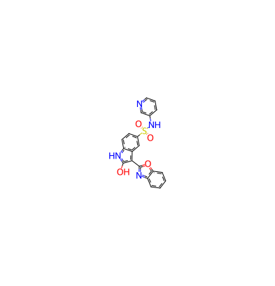 O=S(=O)(Nc1cccnc1)c1ccc2[nH]c(O)c(-c3nc4ccccc4o3)c2c1